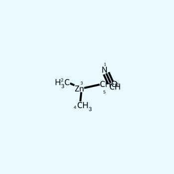 C#N.[CH3][Zn]([CH3])[CH]=O